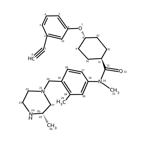 C#Cc1cccc(O[C@H]2CC[C@H](C(=O)N(C)c3ccc(CN4CCN[C@@H](C)C4)c(C)c3)CC2)c1